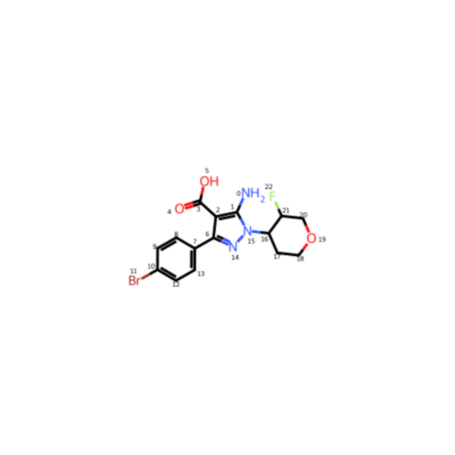 Nc1c(C(=O)O)c(-c2ccc(Br)cc2)nn1C1CCOCC1F